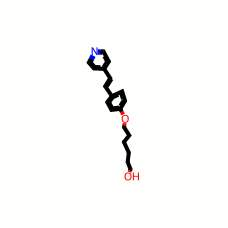 OCCCCCCOc1ccc(C=Cc2ccncc2)cc1